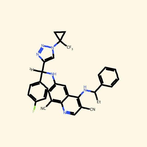 [2H]C(Nc1cc(C#N)c2ncc(C#N)c(NC(CC)c3ccccc3)c2c1)(c1ccc(F)cc1)c1cn(C2(C(F)(F)F)CC2)nn1